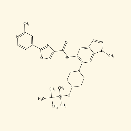 Cc1cc(-c2nc(C(=O)Nc3cc4cnn(C)c4cc3N3CCC(O[Si](C)(C)C(C)(C)C)CC3)co2)ccn1